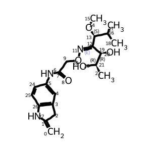 C=C1Cc2cc(NC(=O)CO/N=C(/[C@@H](OC)C(C)C)[C@@H](O)[C@@H](C)O)ccc2N1